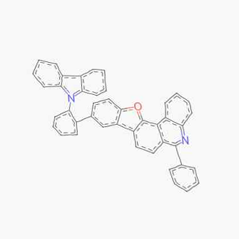 c1ccc(-c2nc3ccccc3c3c2ccc2c4cc(-c5ccccc5-n5c6ccccc6c6ccccc65)ccc4oc23)cc1